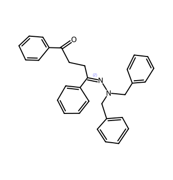 O=C(CC/C(=N/N(Cc1ccccc1)Cc1ccccc1)c1ccccc1)c1ccccc1